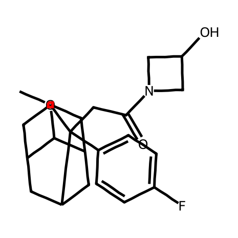 COC1C2CC3CC1CC(C2)C3(CC(=O)N1CC(O)C1)c1ccc(F)cc1